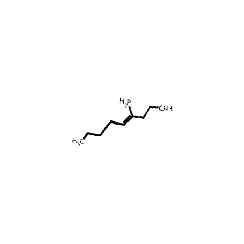 CCCCC=C(P)CCO